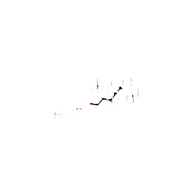 CCOCCCC(=O)C(C)(C)C(C)(C)C